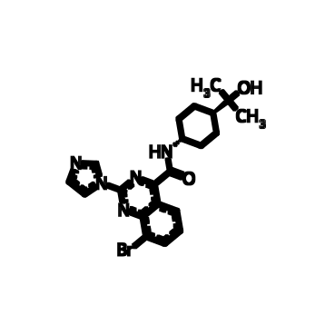 CC(C)(O)[C@H]1CC[C@H](NC(=O)c2nc(-n3ccnc3)nc3c(Br)cccc23)CC1